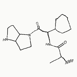 CNC(C)C(=O)NC(C(=O)N1CCC2NCCC21)C1CCCCC1